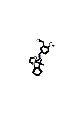 COc1ccc(/C=C/C23OCCN2c2ccccc2C3(C)C)cc1CCl